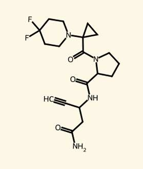 C#CC(CC(N)=O)NC(=O)C1CCCN1C(=O)C1(N2CCC(F)(F)CC2)CC1